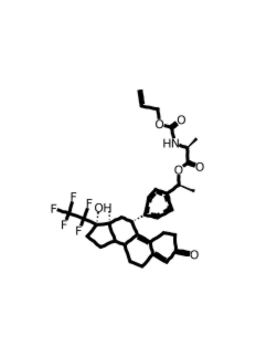 C=CCOC(=O)N[C@@H](C)C(=O)O[C@@H](C)c1ccc([C@H]2C[C@@]3(C)C(CC[C@@]3(O)C(F)(F)C(F)(F)F)C3CCC4=CC(=O)CCC4=C32)cc1